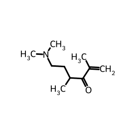 C=C(C)C(=O)C(C)CCN(C)C